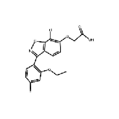 CCOc1cc(F)ccc1-c1noc2c(Cl)c(OCC(=O)O)ccc12